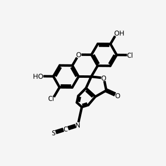 O=C1OC2(c3cc(Cl)c(O)cc3Oc3cc(O)c(Cl)cc32)c2ccc(N=C=S)cc21